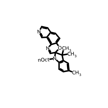 CCCCCCCCN1c2ccc(C)cc2C(C)(C)C12C=Nc1c(ccc3ccncc13)O2